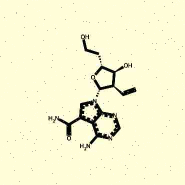 C=C[C@@H]1[C@H](O)[C@@H](CCO)O[C@H]1n1cc(C(N)=O)c2c(N)ncnc21